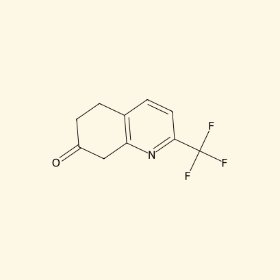 O=C1CCc2ccc(C(F)(F)F)nc2C1